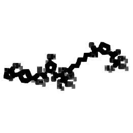 Cc1ncsc1-c1ccc([C@H](C)NC(=O)[C@@H]2C[C@@H](O)CN2C(=O)[C@@H](NC(=O)CCCCCNC(=O)C2CCN(C(=O)OC(C)(C)C)C2)C(C)(C)C)cc1